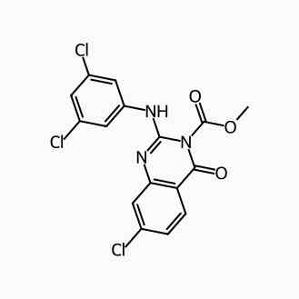 COC(=O)n1c(Nc2cc(Cl)cc(Cl)c2)nc2cc(Cl)ccc2c1=O